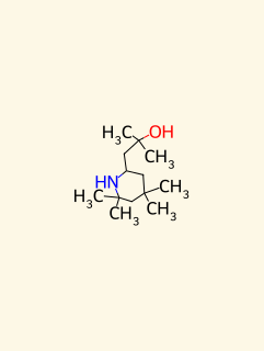 CC(C)(O)CC1CC(C)(C)CC(C)(C)N1